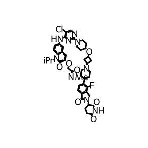 CNC(=O)COc1cc2cc(Nc3nc(N4CCC(OC5CC(N6CCC(c7ccc8c(c7F)CN(C7CCC(=O)NC7=O)C8=O)CC6)C5)CC4)ncc3Cl)ccc2n(C(C)C)c1=O